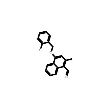 Cc1cc(OCc2ccccc2Cl)c2ccccc2c1C=O